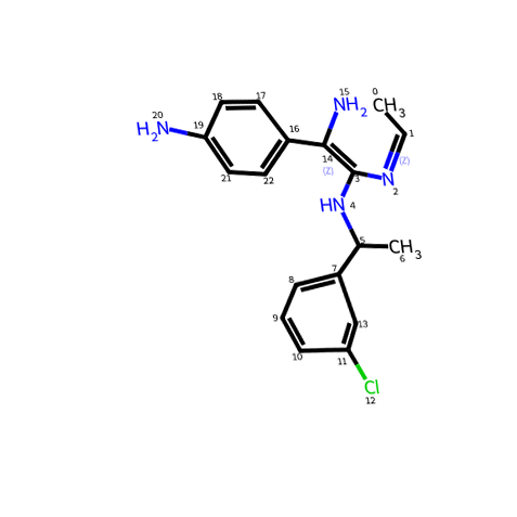 C/C=N\C(NC(C)c1cccc(Cl)c1)=C(/N)c1ccc(N)cc1